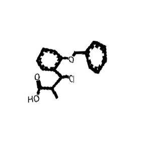 CC(C(=O)O)C(Cl)c1ccccc1OCc1ccccc1